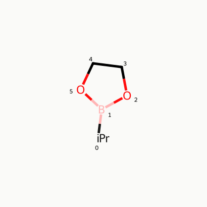 CC(C)B1OCCO1